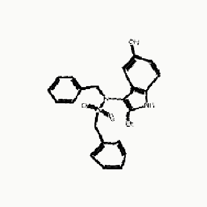 CCc1[nH]c2ccc(O)cc2c1N(Cc1ccccc1)S(=O)(=O)Cc1ccccc1